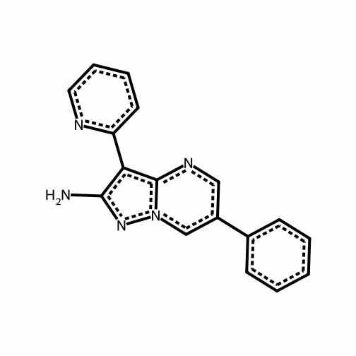 Nc1nn2cc(-c3ccccc3)cnc2c1-c1ccccn1